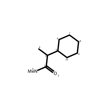 CNC(=O)C(C)C1CCCCC1